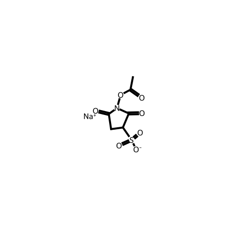 CC(=O)ON1C(=O)CC(S(=O)(=O)[O-])C1=O.[Na+]